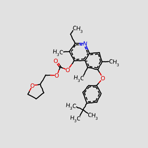 CCc1nc2cc(C)c(Oc3ccc(C(C)(C)C)cc3)c(C)c2c(OC(=O)OCC2CCCO2)c1C